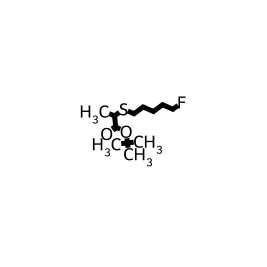 CC(SCCCCCF)C(=O)OC(C)(C)C